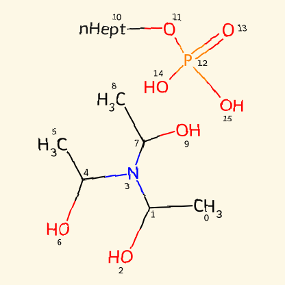 CC(O)N(C(C)O)C(C)O.CCCCCCCOP(=O)(O)O